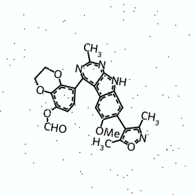 COc1cc2c(cc1-c1c(C)noc1C)[nH]c1nc(C)nc(-c3ccc(OC=O)c4c3OCCO4)c12